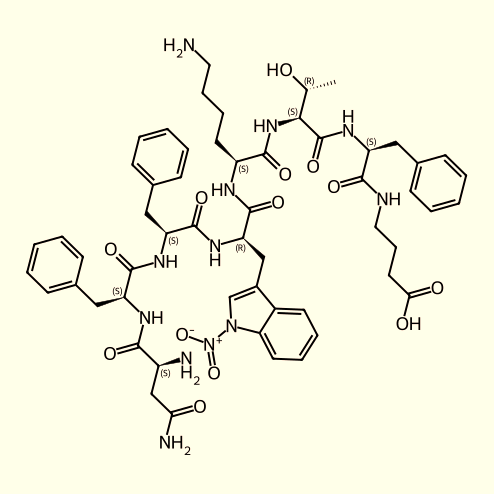 C[C@@H](O)[C@H](NC(=O)[C@H](CCCCN)NC(=O)[C@@H](Cc1cn([N+](=O)[O-])c2ccccc12)NC(=O)[C@H](Cc1ccccc1)NC(=O)[C@H](Cc1ccccc1)NC(=O)[C@@H](N)CC(N)=O)C(=O)N[C@@H](Cc1ccccc1)C(=O)NCCCC(=O)O